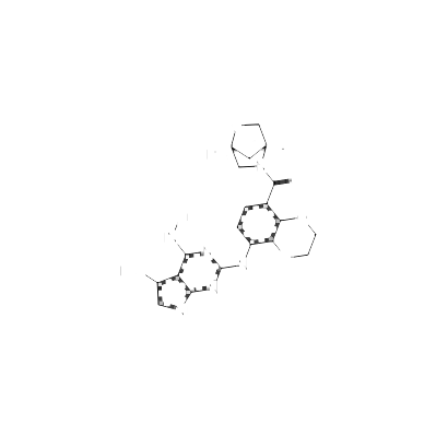 CCNc1nc(Nc2ccc(C(=O)N3C[C@@H]4C[C@H]3CO4)c3c2OCCO3)nc2[nH]cc(C(F)(F)F)c12